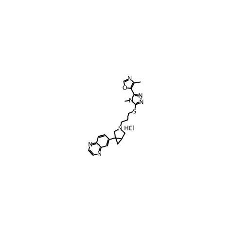 Cc1ncoc1-c1nnc(SCCCN2CC3CC3(c3ccc4nccnc4c3)C2)n1C.Cl